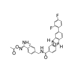 CC(=O)ON=C(N)c1ccc(CNC(=O)c2ccc3c(c2)[C@@H]2O[C@H]3c3ccc(-c4ccc(F)cc4F)cc32)cc1